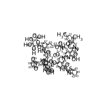 COCCN(CCOC12CC3(C)CC(C)(CC(Cn4ncc(-c5ccc(N6CCc7c(OC)ccc(C(=O)Nc8nc9ccccc9s8)c7C6)nc5C(=O)O)c4C)(C3)C1)C2)C(=O)OC/C=C/c1ccc(O[C@@H]2O[C@H](C(=O)O)[C@@H](O)[C@H](O)[C@H]2O)c(NC(=O)CCNC(=O)[C@H](CS(=O)(=O)O)NC(=O)CCN2C(=O)C=CC2=O)c1